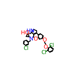 O=C(C1=C(c2ccc(OCCOc3c(Cl)cccc3Cl)cc2)CCNC1CO)N(Cc1cccc(Cl)c1)C1CC1